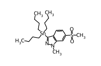 CCC[CH2][Sn]([CH2]CCC)([CH2]CCC)[c]1nn(C)c2cc(S(C)(=O)=O)ccc12